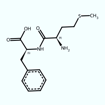 CSCC[C@@H](N)C(=O)N[C@@H](Cc1ccccc1)C(=O)O